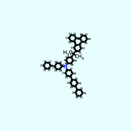 CC(C)(c1ccc(N(c2ccc(-c3ccccc3)cc2)c2ccc(-c3ccc(-c4ccccc4)cc3)cc2)cc1)c1ccc2c3ccccc3c3ccccc3c2c1